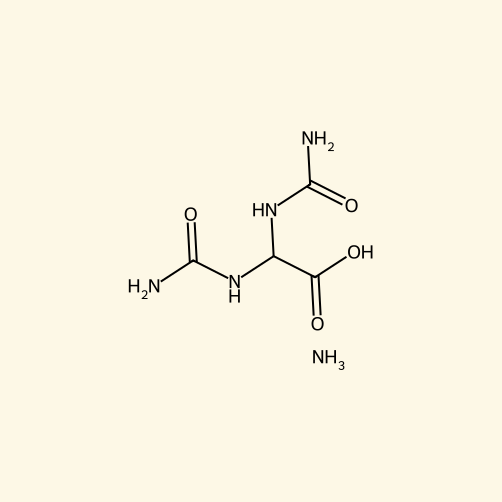 N.NC(=O)NC(NC(N)=O)C(=O)O